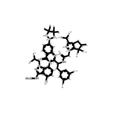 CSNc1nn(CC(F)F)c2c(-n3c(C(Cc4cc(F)cc(F)c4)NC(=O)Cn4nc(C(F)F)c5c4C(F)(F)C(C)C5)nc4cc(B5OC(C)(C)C(C)(C)O5)ccc4c3=O)ccc(Cl)c12